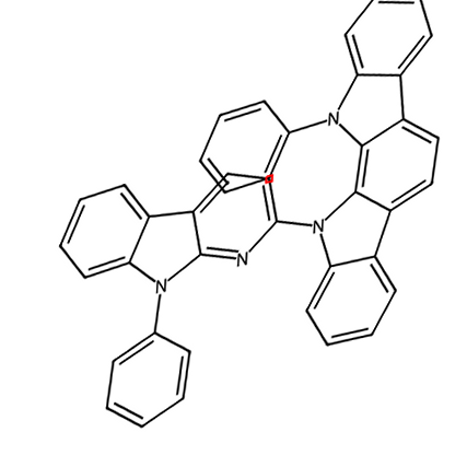 c1ccc(-n2c3ccccc3c3ccc(-n4c5ccccc5c5ccc6c7ccccc7n(-c7ccccc7)c6c54)nc32)cc1